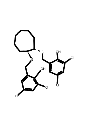 Oc1c(Cl)cc(Cl)cc1CS[C@H]1CCCCCC[C@@H]1SCc1cc(Cl)cc(Cl)c1O